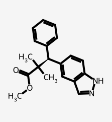 COC(=O)C(C)(C)[C@@H](c1ccccc1)c1ccc2[nH]ncc2c1